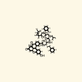 CC(C)C[C@H](NC(=O)[C@H](CCc1ccccc1)NC(=O)c1ccc(C(=O)O)c(-c2c3ccc(=O)cc-3oc3cc(O)ccc23)c1)C(=O)N[C@@H](Cc1ccccc1)C(=O)N[C@@H](CC(C)C)C(=O)C1(C)CC1